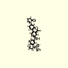 CC1Oc2cc(N3CCCC3=O)ccc2-c2cnc(Nc3cnc4c(c3)N([S+]([O-])C(C)C)CCO4)cc21